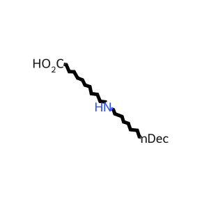 CCCCCCCCCCCCCCCCCCNCCCCCCCCCCCC(=O)O